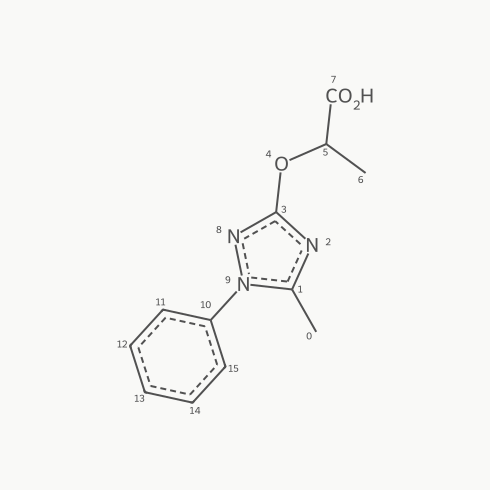 Cc1nc(OC(C)C(=O)O)nn1-c1ccccc1